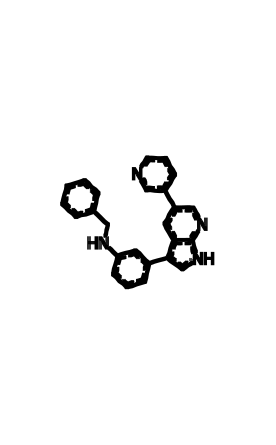 c1ccc(CNc2cccc(-c3c[nH]c4ncc(-c5cccnc5)cc34)c2)cc1